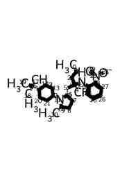 CCC[C@](C)(C[C@@H]1CC[C@H](C)N1[C@H]1CC[C@@H](C(C)(C)C)CC1)Nc1ccccc1[N+](=O)[O-]